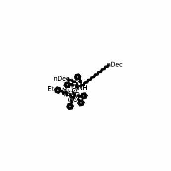 CCCCCCCCCCCCCCCCCCCCCCCCCCN[C@@H](CO[C@@H]1O[C@H](Cn2cc(-c3ccc(CC)cc3)nn2)[C@H](OCc2ccccc2)[C@H](OCc2ccccc2)[C@H]1OCc1ccccc1)[C@H](OCc1ccccc1)[C@@H](CCCCCCCCCCCCCC)OCc1ccccc1